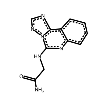 NC(=O)CNc1nc2ccccc2c2ncnn12